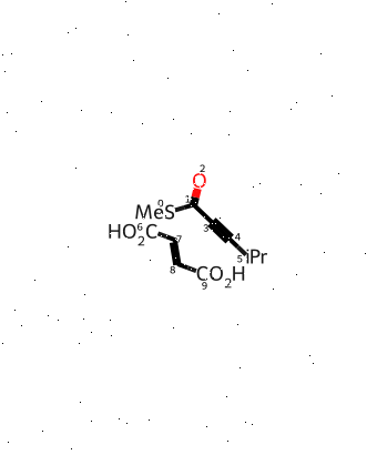 CSC(=O)C#CC(C)C.O=C(O)C=CC(=O)O